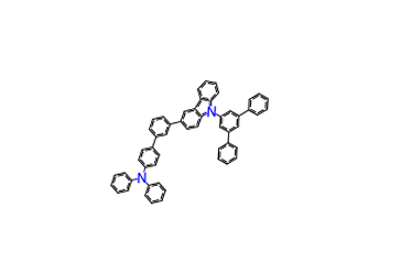 c1ccc(-c2cc(-c3ccccc3)cc(-n3c4ccccc4c4cc(-c5cccc(-c6ccc(N(c7ccccc7)c7ccccc7)cc6)c5)ccc43)c2)cc1